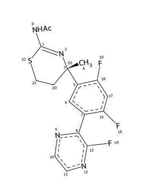 CC(=O)NC1=N[C@](C)(c2cc(-c3nccnc3F)c(F)cc2F)CCS1